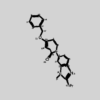 CCCc1nc2ccc(-n3ccc(OCc4ccccc4)cc3=O)cc2n1C